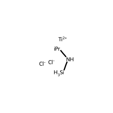 CC(C)N[SiH3].[Cl-].[Cl-].[Ti+2]